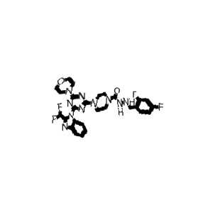 O=C(NNCc1ccc(F)cc1F)N1CCN(c2nc(N3CCOCC3)nc(-n3c(C(F)F)nc4ccccc43)n2)CC1